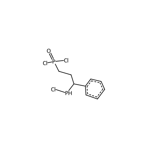 O=P(Cl)(Cl)CCC(PCl)c1ccccc1